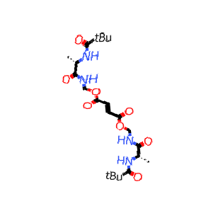 C[C@H](NC(=O)C(C)(C)C)C(=O)NCOC(=O)/C=C/C(=O)OCNC(=O)[C@H](C)NC(=O)C(C)(C)C